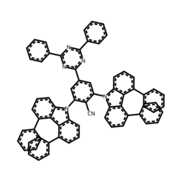 N#Cc1c(-n2c3cccc(-c4ccccc4)c3c3c(-c4ccccc4)cccc32)cc(-c2nc(-c3ccccc3)nc(-c3ccccc3)n2)cc1-n1c2cccc(-c3ccccc3)c2c2c(-c3ccccc3)cccc21